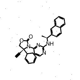 C#C[C@@]1(C2C=CC=CC2)COC(=O)N1c1ccnc(N[C@@H](C)c2ccc3ccccc3c2)n1